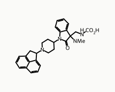 CNC1(CNC(=O)O)C(=O)N(C2CCN(C3Cc4cccc5cccc3c45)CC2)c2ccccc21